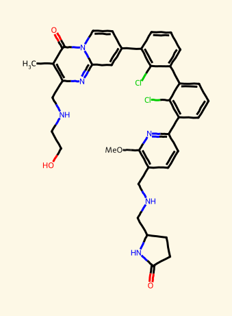 COc1nc(-c2cccc(-c3cccc(-c4ccn5c(=O)c(C)c(CNCCO)nc5c4)c3Cl)c2Cl)ccc1CNCC1CCC(=O)N1